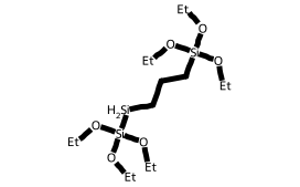 CCO[Si](CCC[SiH2][Si](OCC)(OCC)OCC)(OCC)OCC